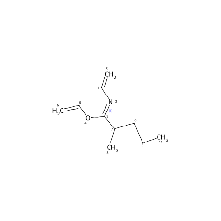 C=C/N=C(\OC=C)C(C)CCC